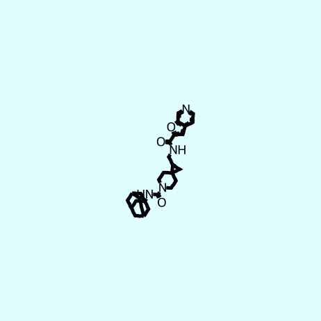 O=C(NCC1CC12CCN(C(=O)NC13CC4CC(CC(C4)C1)C3)CC2)c1cc2ccncc2o1